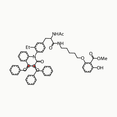 CCc1cc(CC(NC(C)=O)C(=O)NCCCCCOc2cccc(O)c2C(=O)OC)ccc1N(C(=O)C(=O)OCc1ccccc1)c1ccccc1C(=O)OC(c1ccccc1)c1ccccc1